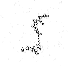 Cc1ncsc1-c1ccc(CNC(=O)C2C[C@@H](O)CN2C(=O)[C@@H](NC(=O)CCCCCCC(=O)N2CC3(CCN(C(=O)c4ccc(Nc5nc(C6CC6)cn6c(-c7cn[nH]c7)cnc56)c(F)c4)CC3)C2)C(C)(C)C)cc1